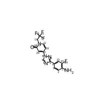 Nc1ccc(-c2ncn(-c3ccn(CC(F)(F)F)c(=O)c3)n2)cc1F